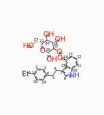 CCc1ccc(CCc2c[nH]c3cccc(OO[C@@H]4[C@@H](O)[C@H](O)[C@@H](CO)O[C@H]4O)c23)cc1